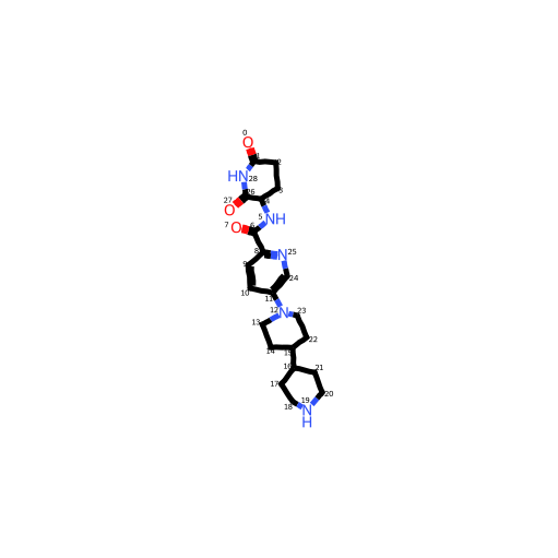 O=C1CCC(NC(=O)c2ccc(N3CCC(C4CCNCC4)CC3)cn2)C(=O)N1